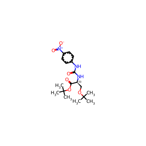 CC(C)(C)OC[C@H](NC(=O)Nc1ccc([N+](=O)[O-])cc1)C(=O)OC(C)(C)C